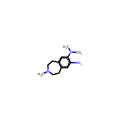 CN1CCc2cc(N)c(N(C)C)cc2CC1